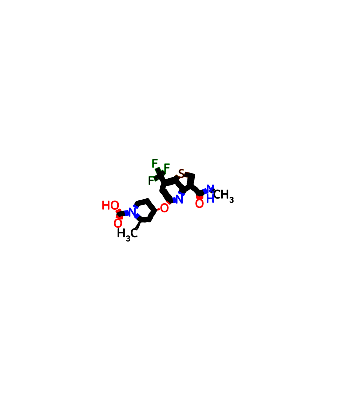 CNC(=O)c1csc2c(C(F)(F)F)cc(O[C@H]3CCN(C(=O)O)[C@H](C)C3)nc12